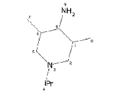 CC1CN(C(C)C)CC(C)C1N